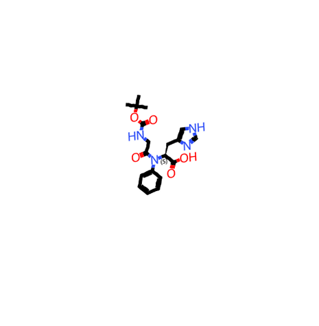 CC(C)(C)OC(=O)NCC(=O)N(c1ccccc1)[C@@H](Cc1c[nH]cn1)C(=O)O